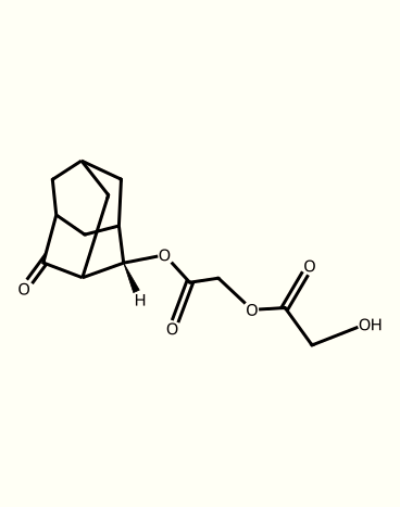 O=C(CO)OCC(=O)O[C@H]1C2CC3CC(C2)C(=O)C1C3